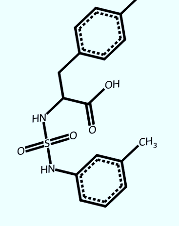 Cc1cccc(NS(=O)(=O)NC(Cc2ccc(O)cc2)C(=O)O)c1